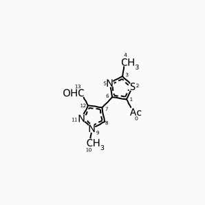 CC(=O)c1sc(C)nc1-c1cn(C)nc1C=O